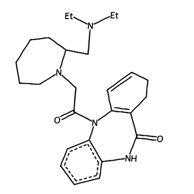 CCN(CC)CC1CCCCCN1CC(=O)N1C2=C(CCC=C2)C(=O)Nc2ccccc21